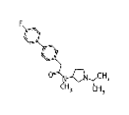 CC(C)N1CCC(N(C)C(=O)Cc2ccc(-c3ccc(F)cc3)cc2)C1